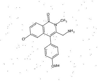 COc1ccc(-c2c(CN)n(C)c(=O)c3ccc(Cl)cc23)cc1